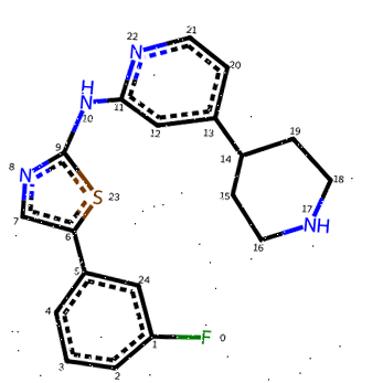 Fc1cccc(-c2cnc(Nc3cc(C4CCNCC4)ccn3)s2)c1